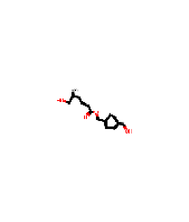 CCCC(CO)CCCC(=O)OCC1CCC(CO)CC1